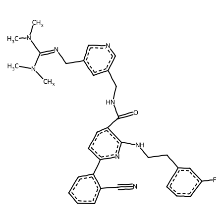 CN(C)C(=NCc1cncc(CNC(=O)c2ccc(-c3ccccc3C#N)nc2NCCc2cccc(F)c2)c1)N(C)C